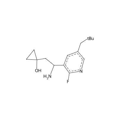 CC(C)(C)Cc1cnc(F)c(C(N)CC2(O)CC2)c1